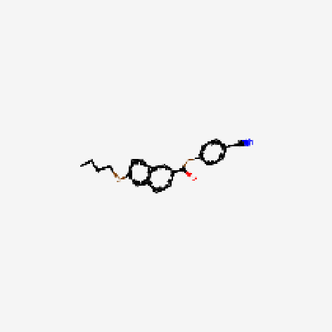 CCCCSc1ccc2cc(C(=O)Sc3ccc(C#N)cc3)ccc2c1